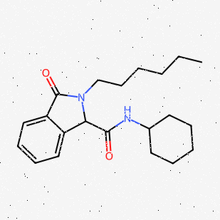 CCCCCCN1C(=O)c2ccccc2C1C(=O)NC1CCCCC1